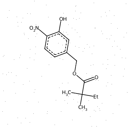 CCC(C)(C)C(=O)OCc1ccc([N+](=O)[O-])c(O)c1